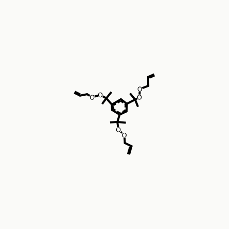 C=CCOOC(C)(C)c1cc(C(C)(C)OOCC=C)cc(C(C)(C)OOCC=C)c1